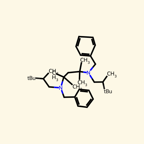 CC(CN(Cc1ccccc1)C(C)(C)CC(C)(C)N(Cc1ccccc1)CC(C)C(C)(C)C)C(C)(C)C